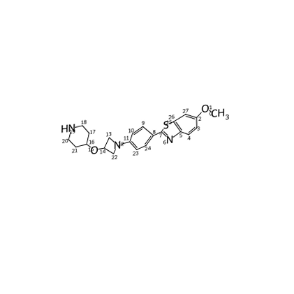 COc1ccc2nc(-c3ccc(N4CC(OC5CCNCC5)C4)cc3)sc2c1